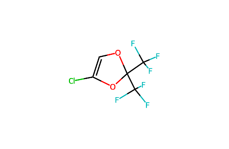 FC(F)(F)C1(C(F)(F)F)OC=C(Cl)O1